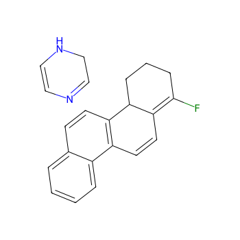 C1=CNCC=N1.FC1=C2C=Cc3c(ccc4ccccc34)C2CCC1